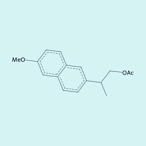 COc1ccc2cc(C(C)COC(C)=O)ccc2c1